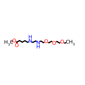 CCOCCOCCOCCNCCNCCCCC(=O)OC